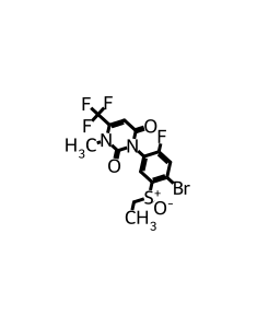 CC[S+]([O-])c1cc(-n2c(=O)cc(C(F)(F)F)n(C)c2=O)c(F)cc1Br